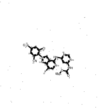 CC(C)(C)OC(=O)Nc1cc(Nc2ncc(F)c3nn(-c4c(Cl)cc([N+](=O)[O-])cc4C#N)cc23)ncn1